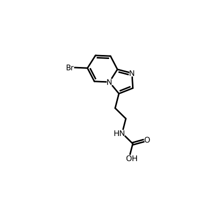 O=C(O)NCCc1cnc2ccc(Br)cn12